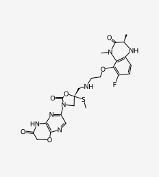 CS[C@]1(CNCCOc2c(F)ccc3c2N(C)C(=O)[C@@H](C)N3)CN(c2cnc3c(n2)NC(=O)CO3)C(=O)O1